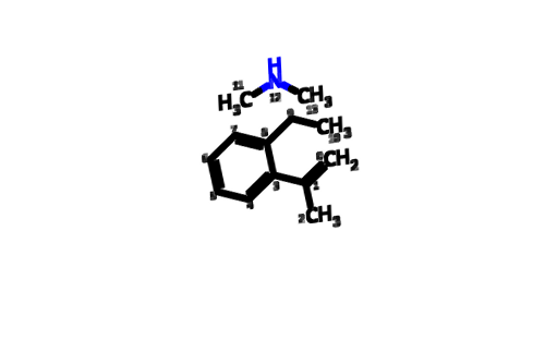 C=C(C)c1ccccc1CC.CNC